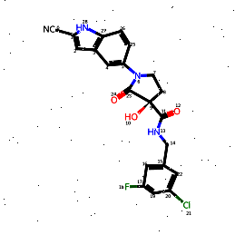 N#Cc1cc2cc(N3CC[C@](O)(C(=O)NCc4cc(F)cc(Cl)c4)C3=O)ccc2[nH]1